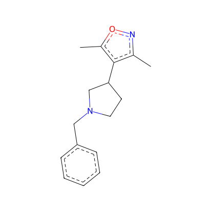 Cc1noc(C)c1C1CCN(Cc2ccccc2)C1